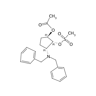 CC(=O)O[C@@H]1CC[C@@H](N(Cc2ccccc2)Cc2ccccc2)[C@H]1OS(C)(=O)=O